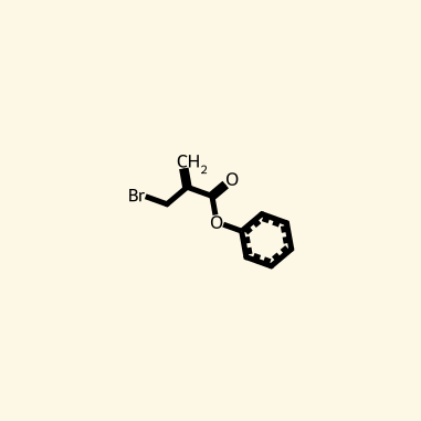 C=C(CBr)C(=O)Oc1ccccc1